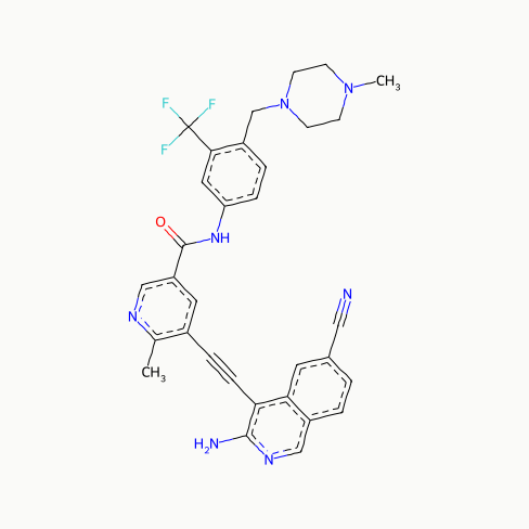 Cc1ncc(C(=O)Nc2ccc(CN3CCN(C)CC3)c(C(F)(F)F)c2)cc1C#Cc1c(N)ncc2ccc(C#N)cc12